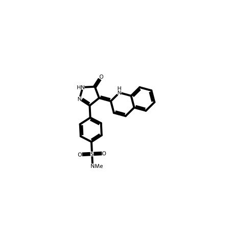 CNS(=O)(=O)c1ccc(C2=NNC(=O)C2=C2C=Cc3ccccc3N2)cc1